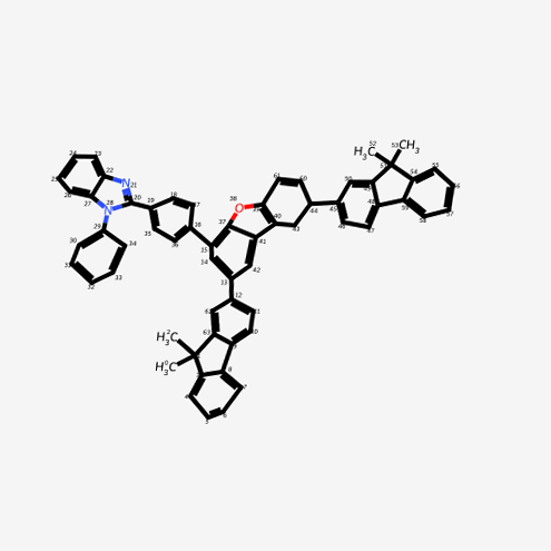 CC1(C)c2ccccc2-c2ccc(-c3cc(-c4ccc(-c5nc6ccccc6n5-c5ccccc5)cc4)c4oc5c(c4c3)CC(c3ccc4c(c3)C(C)(C)c3ccccc3-4)C=C5)cc21